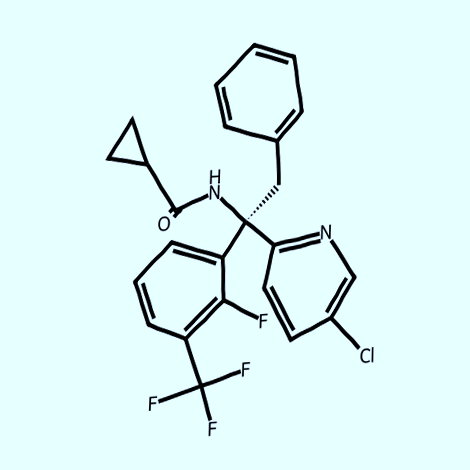 O=C(N[C@@](Cc1ccccc1)(c1ccc(Cl)cn1)c1cccc(C(F)(F)F)c1F)C1CC1